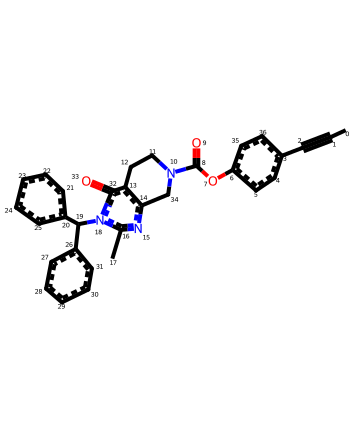 CC#Cc1ccc(OC(=O)N2CCc3c(nc(C)n(C(c4ccccc4)c4ccccc4)c3=O)C2)cc1